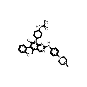 CCC(=O)NC1CCC(n2c(=O)c(-c3ccccc3Cl)c(C)c3cnc(Nc4ccc(N5CCN(C)CC5)cc4)nc32)CC1